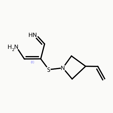 C=CC1CN(S/C(C=N)=C/N)C1